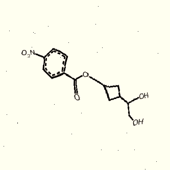 O=C(OC1CC(C(O)CO)C1)c1ccc([N+](=O)[O-])cc1